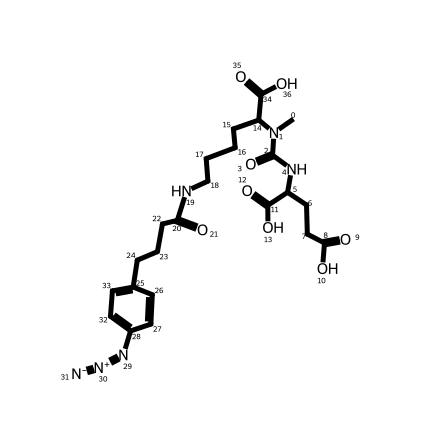 CN(C(=O)NC(CCC(=O)O)C(=O)O)C(CCCCNC(=O)CCCc1ccc(N=[N+]=[N-])cc1)C(=O)O